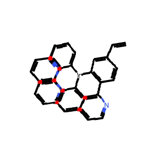 C=Cc1ccc(-c2ccccn2)[c]([Ir]([c]2ccccc2-c2ccccn2)[c]2ccccc2-c2ccccn2)c1